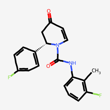 Cc1c(F)cccc1NC(=O)N1C=CC(=O)C[C@H]1c1ccc(F)cc1